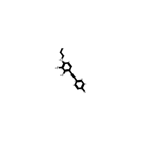 CCCOc1ccc(C#Cc2ccc(C)cc2)c(F)c1F